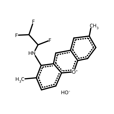 Cc1ccc2[o+]c3ccc(C)c(NC(F)C(F)F)c3cc2c1.[OH-]